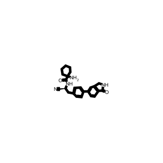 N#C[C@H](Cc1ccc(-c2ccc3c(c2)CNC3=O)cc1)NC(=O)C1(N)CCCCC1